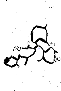 CC1=CC=CC(/C(C2=CC(C)NC=C2C)=C(/CC(C)Cc2ccccc2F)C(=O)O)=C(O)C1